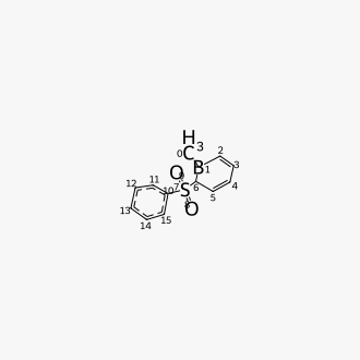 CB1C=CC=CC1S(=O)(=O)c1ccccc1